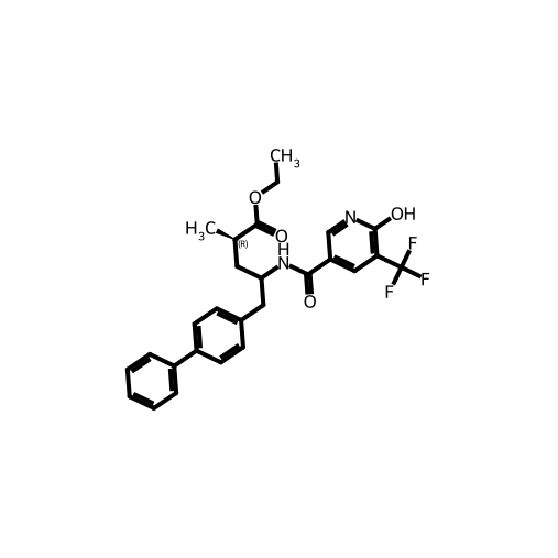 CCOC(=O)[C@H](C)CC(Cc1ccc(-c2ccccc2)cc1)NC(=O)c1cnc(O)c(C(F)(F)F)c1